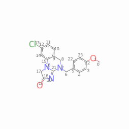 COc1ccc(CN2Cc3ccc(Cl)cc3N3CC(=O)N=C23)cc1